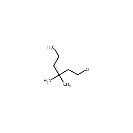 CCCC(C)(N)CCCl